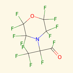 O=C(F)C(F)(N1C(F)(F)C(F)(F)OC(F)(F)C1(F)F)C(F)(F)F